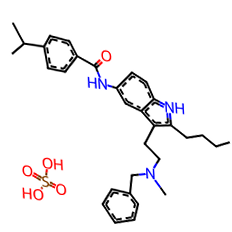 CCCCc1[nH]c2ccc(NC(=O)c3ccc(C(C)C)cc3)cc2c1CCN(C)Cc1ccccc1.O=S(=O)(O)O